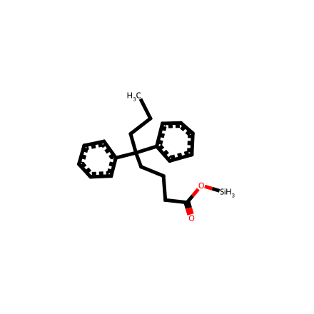 CCCC(CCCC(=O)O[SiH3])(c1ccccc1)c1ccccc1